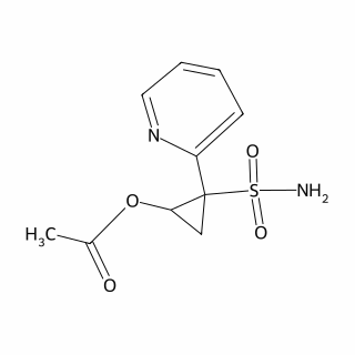 CC(=O)OC1CC1(c1ccccn1)S(N)(=O)=O